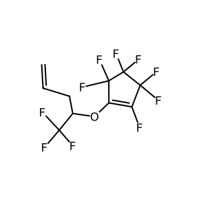 C=CCC(OC1=C(F)C(F)(F)C(F)(F)C1(F)F)C(F)(F)F